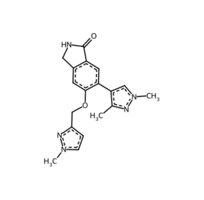 Cc1nn(C)cc1-c1cc2c(cc1OCc1ccn(C)n1)CNC2=O